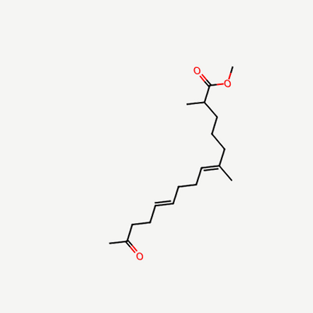 COC(=O)C(C)CCCC(C)=CCCC=CCCC(C)=O